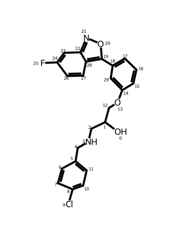 OC(CNCc1ccc(Cl)cc1)COc1cccc(-c2onc3cc(F)ccc23)c1